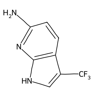 Nc1ccc2c(C(F)(F)F)c[nH]c2n1